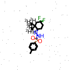 [2H]C([2H])([2H])C1(C([2H])([2H])[2H])CC(F)(F)CCC1=NNS(=O)(=O)c1ccc(C)cc1